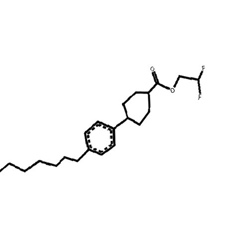 CCCCCCCc1ccc(C2CCC(C(=O)OCC(F)F)CC2)cc1